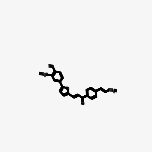 O=C(O)/C=C/c1ccc(C(=O)/C=C/c2ccc(-c3ccc(O)c(C(=O)O)c3)o2)cc1